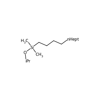 CCCCCCCCCCC[Si](C)(C)OC(C)C